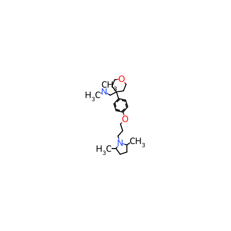 CC1CCC(C)N1CCCOc1ccc(C2(CN(C)C)CCOCC2)cc1